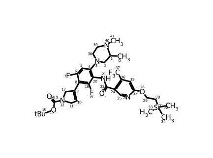 CC1CN(c2cc(F)c(C3=CCN(C(=O)OC(C)(C)C)C3)c(F)c2NC(=O)c2cnc(OCC[Si](C)(C)C)cc2C(F)(F)F)CCN1C